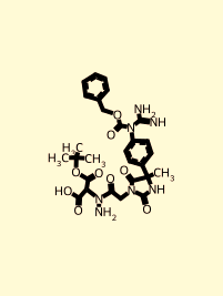 CC(C)(C)OC(=O)C(C(=O)O)N(N)C(=O)CN1C(=O)NC(C)(c2ccc(N(C(=N)N)C(=O)OCc3ccccc3)cc2)C1=O